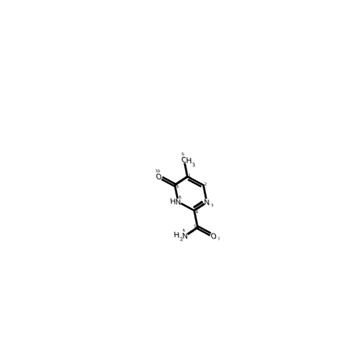 Cc1cnc(C(N)=O)[nH]c1=O